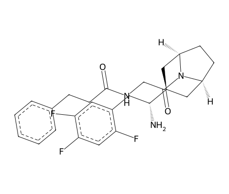 N[C@H](Cc1cc(F)c(F)cc1F)[C@H]1C[C@H]2CC[C@@H](C1)N2C(=O)CNC(=O)CCc1ccccc1